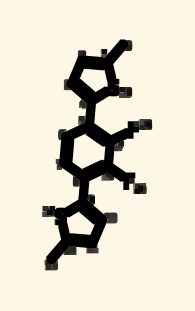 Cc1ccc(-c2ccc(-c3ccc(C)s3)c(F)c2F)s1